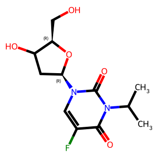 CC(C)n1c(=O)c(F)cn([C@H]2CC(O)[C@@H](CO)O2)c1=O